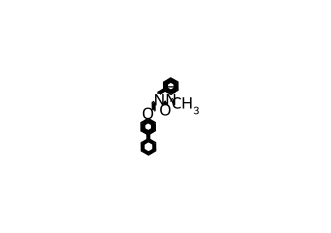 CNC(=O)N(CCOc1ccc(C2CCCCC2)cc1)Cc1ccccc1